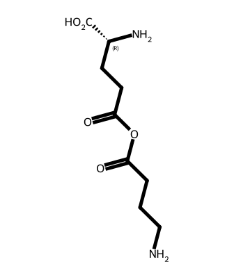 NCCCC(=O)OC(=O)CC[C@@H](N)C(=O)O